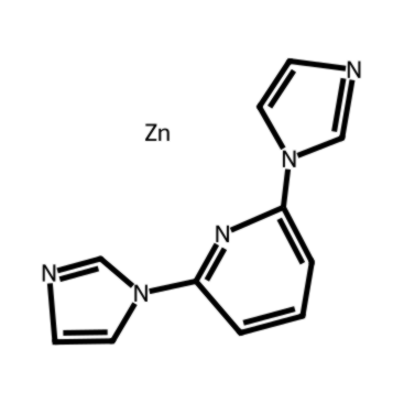 [Zn].c1cc(-n2ccnc2)nc(-n2ccnc2)c1